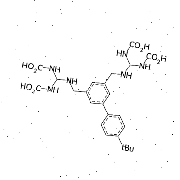 CC(C)(C)c1ccc(-c2cc(CNC(NC(=O)O)NC(=O)O)cc(CNC(NC(=O)O)NC(=O)O)c2)cc1